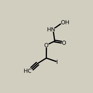 C#CC(I)OC(=O)NO